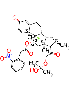 C[C@@H]1CC2C3CCC4=CC(=O)C=C[C@]4(C)C3(F)[C@@H](OC(=O)Cc3ccccc3[N+](=O)[O-])C[C@]2(C)C1C(=O)COC(C)(C)O